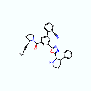 CC#C[C@H]1CCCN1C(=O)c1cc(-c2nnc([C@@H]3NCCC[C@@H]3c3ccccc3)o2)cc(-c2ccccc2C#N)c1